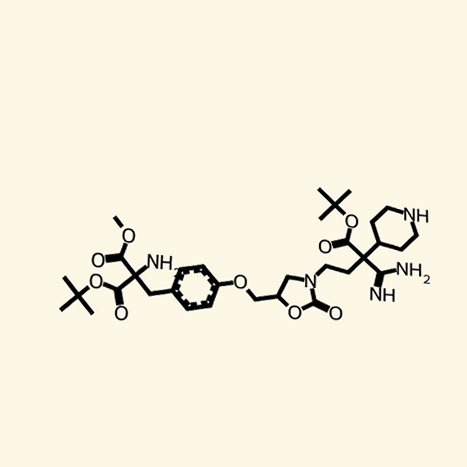 COC(=O)C(N)(Cc1ccc(OCC2CN(CCC(C(=N)N)(C(=O)OC(C)(C)C)C3CCNCC3)C(=O)O2)cc1)C(=O)OC(C)(C)C